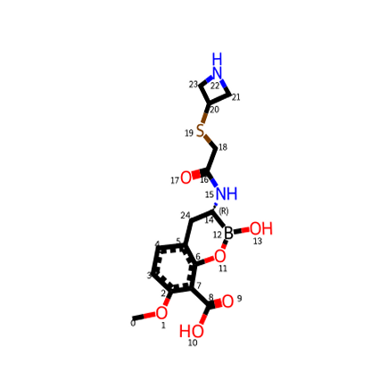 COc1ccc2c(c1C(=O)O)OB(O)[C@@H](NC(=O)CSC1CNC1)C2